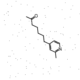 CC(=O)CCCCCc1ccnc(C)c1